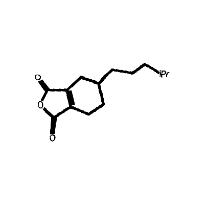 CC(C)CCCC1CCC2=C(C1)C(=O)OC2=O